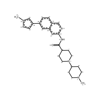 CN1CCC(N2CCC(C(=O)Nc3ncc4ccc(-c5cnn(C)c5)cc4n3)CC2)CC1